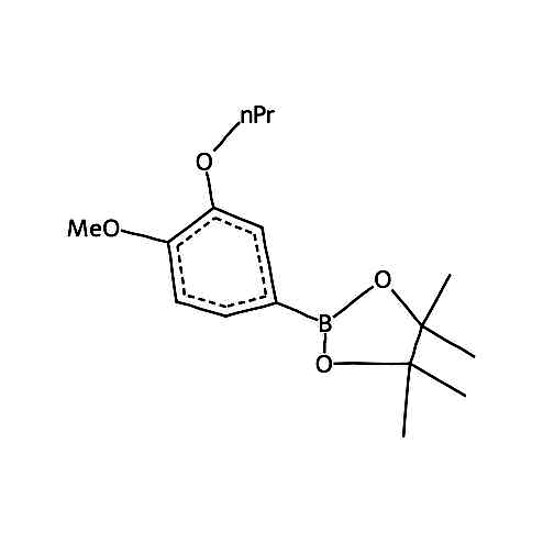 CCCOc1cc(B2OC(C)(C)C(C)(C)O2)ccc1OC